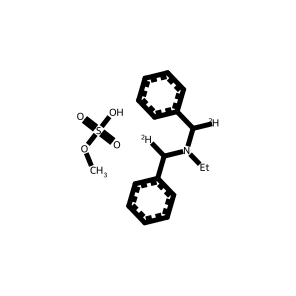 COS(=O)(=O)O.[2H]C(c1ccccc1)N(CC)C([2H])c1ccccc1